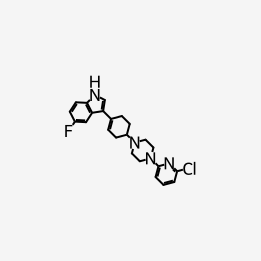 Fc1ccc2[nH]cc(C3=CCC(N4CCN(c5cccc(Cl)n5)CC4)CC3)c2c1